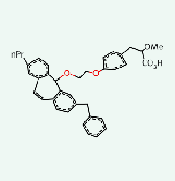 CCCc1ccc2c(c1)C=Cc1ccc(Cc3ccccc3)cc1C2OCCOc1ccc(CC(OC)C(=O)O)cc1